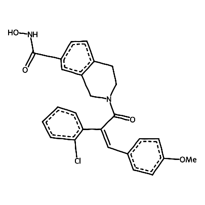 COc1ccc(C=C(C(=O)N2CCc3ccc(C(=O)NO)cc3C2)c2ccccc2Cl)cc1